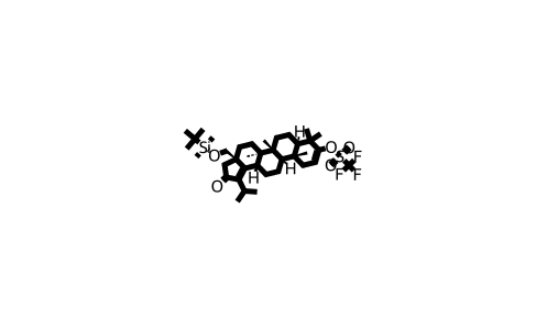 CC(C)C1=C2[C@H]3CC[C@@H]4[C@@]5(C)CC=C(OS(=O)(=O)C(F)(F)F)C(C)(C)[C@@H]5CC[C@@]4(C)[C@]3(C)CC[C@@]2(CO[Si](C)(C)C(C)(C)C)CC1=O